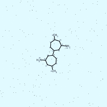 CC1CCC(C2CCC(C)CC(N)C2)CC(N)C1